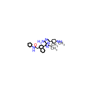 CNC1CC=C(c2cnc(N)c3c(-c4ccc(CC(=O)Nc5ccccc5)c5ccccc45)nc(C(C)C)n23)CC1